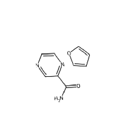 NC(=O)c1cnccn1.c1ccoc1